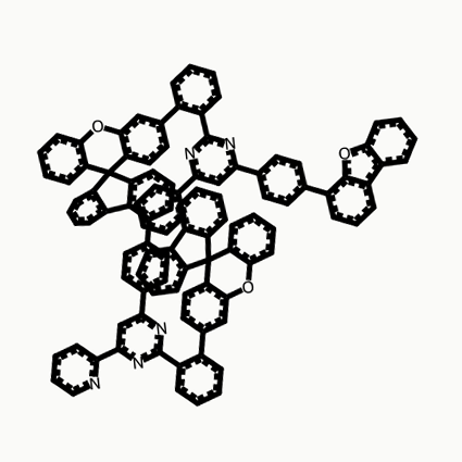 c1ccc(-c2cc(-c3ccc(-c4cccc5c4oc4ccccc45)cc3)nc(-c3ccccc3-c3ccc4c(c3)Oc3ccccc3C43c4ccccc4-c4c(-c5ccc(-c6cc(-c7ccccn7)nc(-c7ccccc7-c7ccc8c(c7)Oc7ccccc7C87c8ccccc8-c8ccccc87)n6)cc5)cccc43)n2)cc1